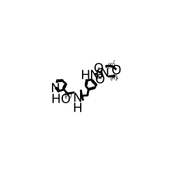 C[C@@H]1CN(S(=O)(=O)Nc2ccc(CC(C)(C)NC[C@H](O)c3cccnc3)cc2)C[C@H](C)O1